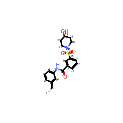 O=C(Nc1cccc(CF)c1)c1cccc(S(=O)(=O)N2CCC(O)CC2)c1